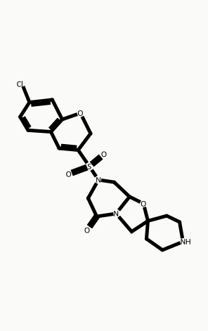 O=C1CN(S(=O)(=O)C2=Cc3ccc(Cl)cc3OC2)CC2OC3(CCNCC3)CN12